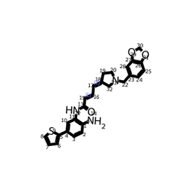 Nc1ccc(-c2cccs2)cc1NC(=O)/C=C/C=C1/CCN(Cc2ccc3c(c2)OCO3)C1